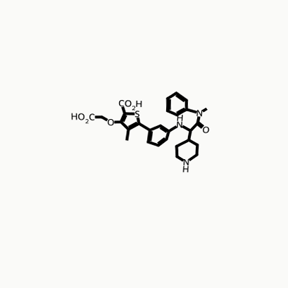 Cc1c(-c2cccc(NC(C(=O)N(C)c3ccccc3)C3CCNCC3)c2)sc(C(=O)O)c1OCC(=O)O